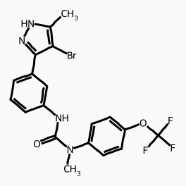 Cc1[nH]nc(-c2cccc(NC(=O)N(C)c3ccc(OC(F)(F)F)cc3)c2)c1Br